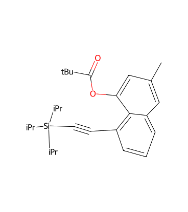 Cc1cc(OC(=O)C(C)(C)C)c2c(C#C[Si](C(C)C)(C(C)C)C(C)C)cccc2c1